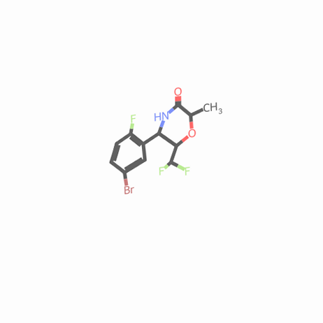 CC1OC(C(F)F)C(c2cc(Br)ccc2F)NC1=O